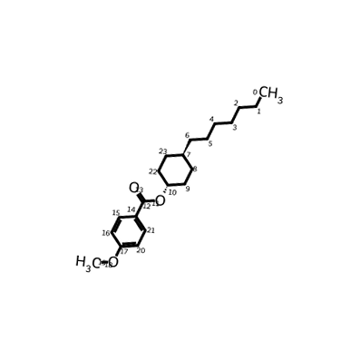 CCCCCCC[C@H]1CC[C@H](OC(=O)c2ccc(OC)cc2)CC1